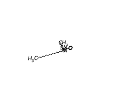 CCCCCCCCCCCCCCCCn1nc(-c2ccccc2)nc1SSCC